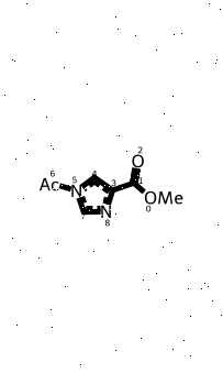 COC(=O)c1cn(C(C)=O)cn1